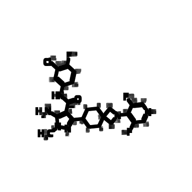 Cn1nc(C2CCC3(CC2)CN(c2c(F)cncc2F)C3)c(C(=O)Nc2ccc(F)c(Cl)c2)c1N